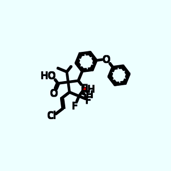 CC(C)C(C(=O)O)(C(NS)c1cccc(Oc2ccccc2)c1)C(C=CCl)C(F)(F)F